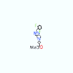 COC(=O)C1CC(N2CCc3nc(Cc4c(F)cccc4F)ncc3C2)C1